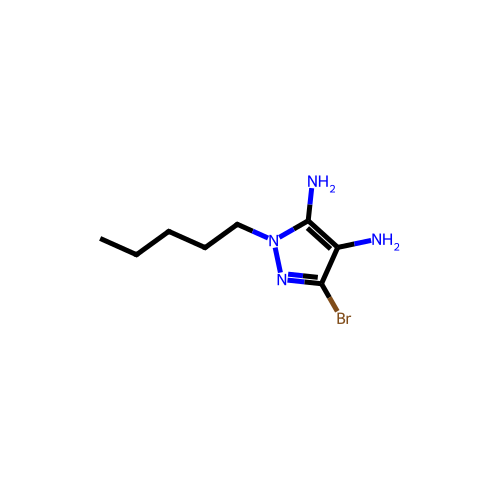 CCCCCn1nc(Br)c(N)c1N